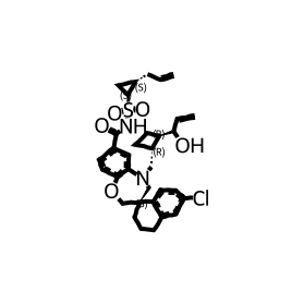 C=CC[C@H]1C[C@@H]1S(=O)(=O)NC(=O)c1ccc2c(c1)N(C[C@@H]1CC[C@H]1C(O)C=C)C[C@@]1(CCCc3cc(Cl)ccc31)CO2